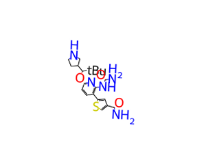 CC(C)(C)C(Oc1ccc(-c2cc(C(N)=O)cs2)c(NC(N)=O)n1)C1CCNC1